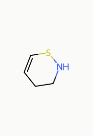 C1=CSNCC1